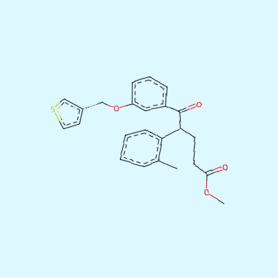 COC(=O)CCC(C(=O)c1cccc(OCc2ccsc2)c1)c1ccccc1C